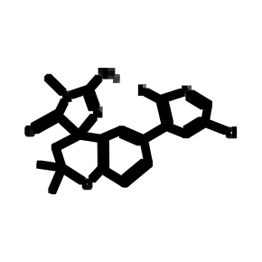 CN1C(=O)C2(CC(C)(C)Oc3ccc(-c4cc(Cl)cnc4F)cc32)N=C1N